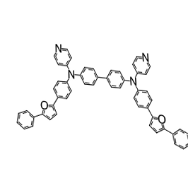 c1ccc(-c2ccc(-c3ccc(N(c4ccncc4)c4ccc(-c5ccc(N(c6ccncc6)c6ccc(-c7ccc(-c8ccccc8)o7)cc6)cc5)cc4)cc3)o2)cc1